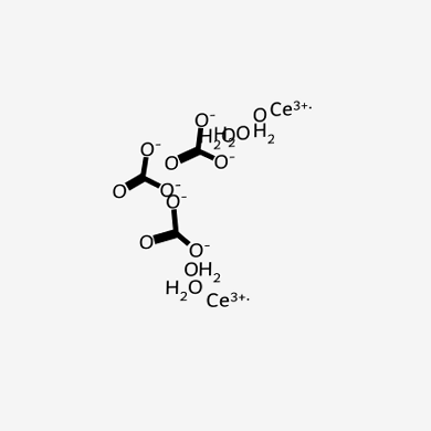 O.O.O.O.O.O=C([O-])[O-].O=C([O-])[O-].O=C([O-])[O-].[Ce+3].[Ce+3]